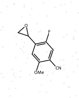 COc1cc(C2CO2)c(F)cc1C#N